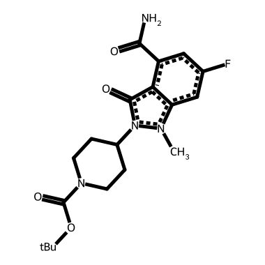 Cn1c2cc(F)cc(C(N)=O)c2c(=O)n1C1CCN(C(=O)OC(C)(C)C)CC1